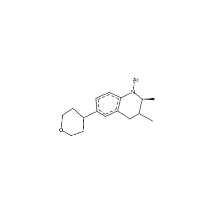 CC(=O)N1c2ccc(C3CCOCC3)cc2CC(C)[C@@H]1C